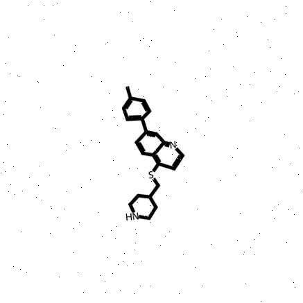 Cc1ccc(-c2ccc3c(SCC4CCNCC4)ccnc3c2)cc1